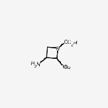 CC(C)(C)C1C(N)CN1C(=O)O